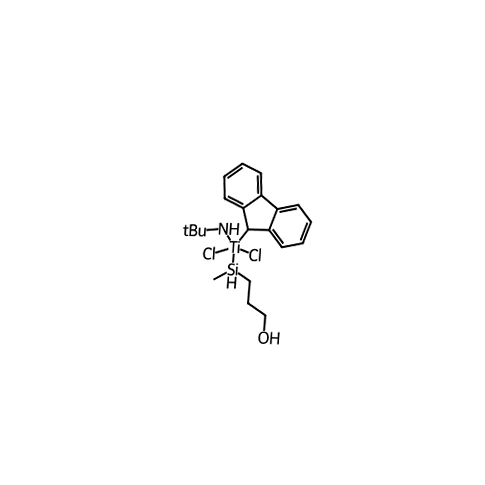 C[SiH](CCCO)[Ti]([Cl])([Cl])([NH]C(C)(C)C)[CH]1c2ccccc2-c2ccccc21